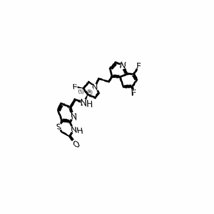 O=C1CSc2ccc(CN[C@@H]3CCN(CCc4ccnc5c(F)cc(F)cc45)C[C@@H]3F)nc2N1